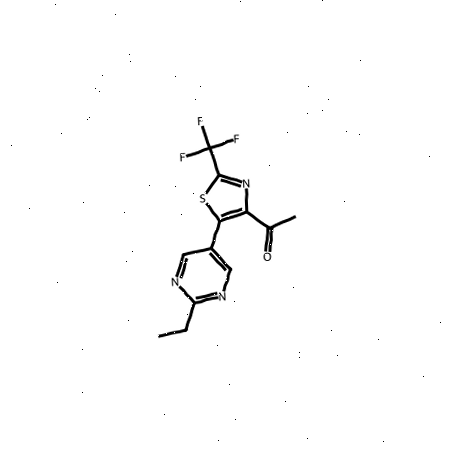 CCc1ncc(-c2sc(C(F)(F)F)nc2C(C)=O)cn1